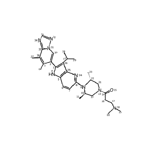 Cc1c(-c2[nH]c3ccc(N4[C@H](C)CN(C(=O)CCN(C)C)C[C@H]4C)nc3c2C(C)C)cn2ncnc2c1C